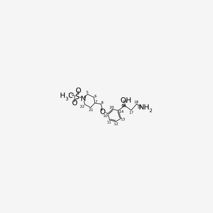 CS(=O)(=O)N1CCC(COc2cccc([C@H](O)CCN)c2)CC1